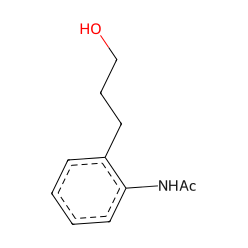 CC(=O)Nc1ccccc1CCCO